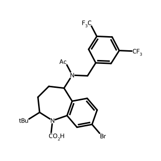 CC(=O)N(Cc1cc(C(F)(F)F)cc(C(F)(F)F)c1)C1CCC(C(C)(C)C)N(C(=O)O)c2cc(Br)ccc21